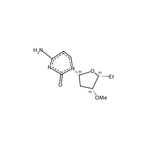 CC[C@H]1O[C@@H](n2ccc(N)nc2=O)C[C@H]1OC